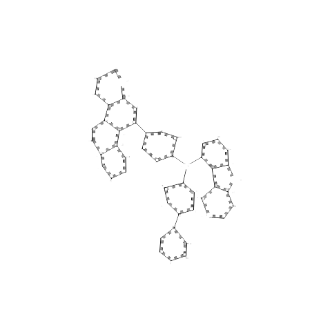 c1ccc(-c2ccc(N(c3ccc(-c4cc5ccccc5c5ccc6ccccc6c45)cc3)c3cccc4oc5ccncc5c34)cc2)cc1